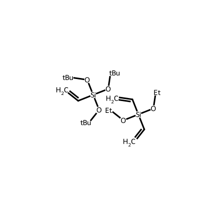 C=C[Si](C=C)(OCC)OCC.C=C[Si](OC(C)(C)C)(OC(C)(C)C)OC(C)(C)C